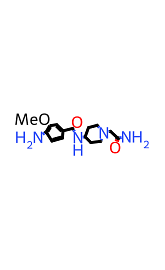 COc1cc(C(=O)NC2CCN(CC(N)=O)CC2)ccc1N